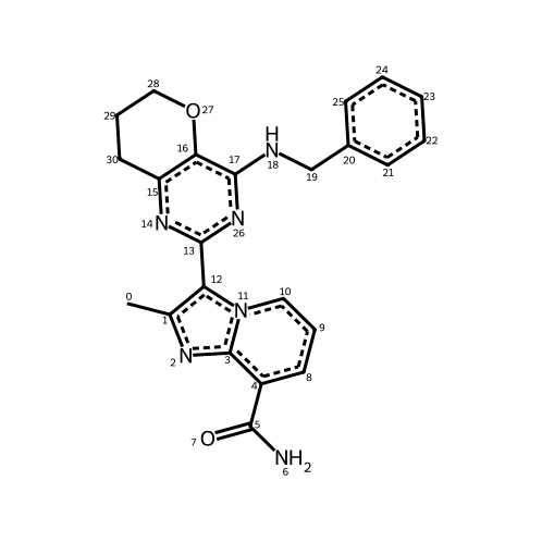 Cc1nc2c(C(N)=O)cccn2c1-c1nc2c(c(NCc3ccccc3)n1)OCCC2